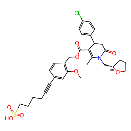 COc1cc(C#CCCCCS(=O)(=O)O)ccc1COC(=O)C1=C(C)N(C[C@H]2CCCO2)C(=O)CC1c1ccc(Cl)cc1